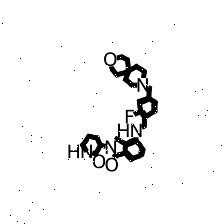 O=C1NCCCC1N1Cc2c(NCc3ccc(CN4CCC5(CCOCC5)CC4)cc3F)cccc2C1=O